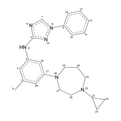 Cc1cc(Nc2ncn(-c3ccccc3)n2)cc(N2CCCN(C3CC3)CC2)c1